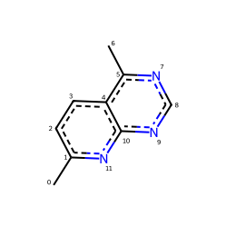 Cc1ccc2c(C)ncnc2n1